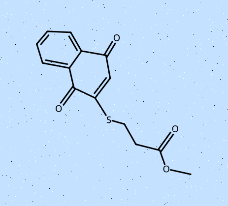 COC(=O)CCSC1=CC(=O)c2ccccc2C1=O